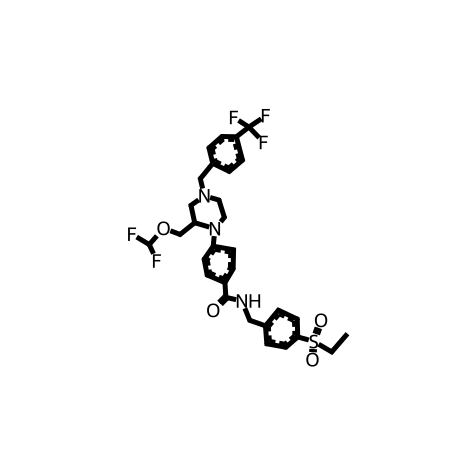 CCS(=O)(=O)c1ccc(CNC(=O)c2ccc(N3CCN(Cc4ccc(C(F)(F)F)cc4)CC3COC(F)F)cc2)cc1